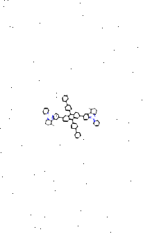 CC1CCCC2(C)C1c1cc(-c3ccc4c(-c5ccc(-c6ccccc6)cc5)c5cc(-c6ccc7c(c6)C6C(C)CCCC6(C)N7c6ccccc6)ccc5c(-c5ccc(-c6ccccc6)cc5)c4c3)ccc1N2c1ccccc1